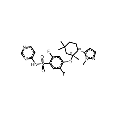 Cn1nccc1[C@H]1CCC(C)(C)C[C@@]1(C)Oc1cc(F)c(S(=O)(=O)Nc2ccncn2)cc1F